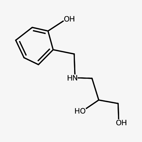 OCC(O)CNCc1ccccc1O